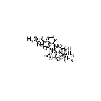 CCC(c1nc2cccc(-c3cnn(C)c3)c2c(=O)n1C1CC1)N(C(=O)O)C(C)(C)C